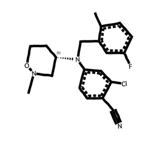 Cc1ccc(F)cc1CN(c1ccc(C#N)c(Cl)c1)[C@H]1CCON(C)C1